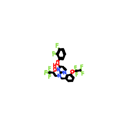 O[C@H](CN(Cc1cccc(OC(F)(F)C(F)F)c1)c1nccc(Oc2cccc(F)c2F)n1)C(F)(F)F